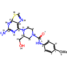 COc1ccc(NC(=O)N2CCN(c3nc(N)nc4scnc34)[C@H](CO)C2)cc1